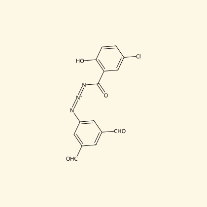 O=Cc1cc(C=O)cc(N=[N+]=NC(=O)c2cc(Cl)ccc2O)c1